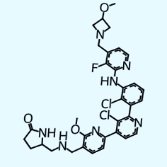 COc1nc(-c2ccnc(-c3cccc(Nc4nccc(CN5CC(OC)C5)c4F)c3Cl)c2Cl)ccc1CNCC1CCC(=O)N1